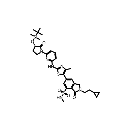 CNS(=O)(=O)c1cc(-c2sc(Nc3cccc(N4CC[C@@H](O[Si](C)(C)C(C)(C)C)C4=O)n3)nc2C)cc2c1C(=O)N(CCC1CC1)C2